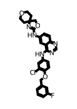 Fc1cccc(COc2ccc(Nc3ncnc4ccc(NC5=NC6(CCOCC6)CO5)cc34)cc2Cl)c1